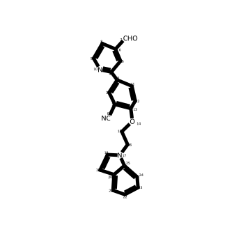 N#Cc1cc(-c2cc(C=O)ccn2)ccc1OCCn1ccc2ccccc21